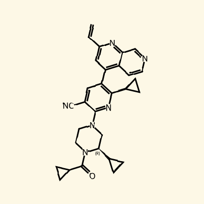 C=Cc1cc(-c2cc(C#N)c(N3CCN(C(=O)C4CC4)[C@H](C4CC4)C3)nc2C2CC2)c2ccncc2n1